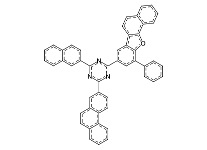 c1ccc(-c2cc(-c3nc(-c4ccc5ccccc5c4)nc(-c4ccc5c(ccc6ccccc65)c4)n3)cc3c2oc2c4ccccc4ccc32)cc1